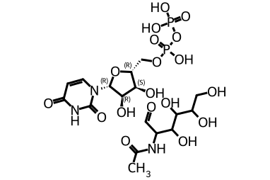 CC(=O)NC(C=O)C(O)C(O)C(O)CO.O=c1ccn([C@@H]2O[C@H](COP(=O)(O)OP(=O)(O)O)[C@@H](O)[C@H]2O)c(=O)[nH]1